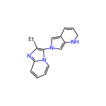 CCc1nc2ccccn2c1-n1cc2c(c1)NCC=C2